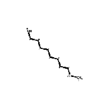 COCCCCCCCC[NH]